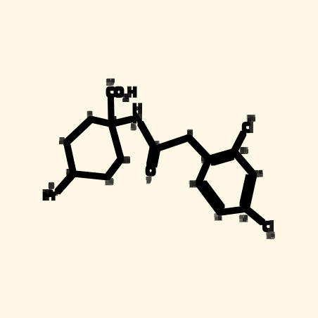 CC(C)C1CCC(NC(=O)Cc2ccc(Cl)cc2Cl)(C(=O)O)CC1